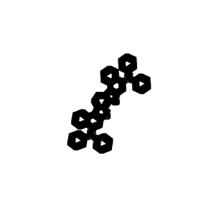 c1ccc(N(c2ccccc2)c2cc3sc4c(ccc5c4sc4cc(N(c6ccccc6)c6ccccc6)c6ccccc6c45)c3c3ccccc23)cc1